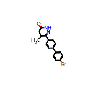 CC1CC(=O)NN=C1c1ccc(-c2ccc(Br)cc2)cc1